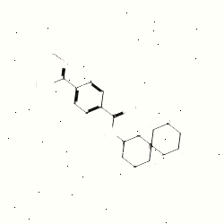 C/N=C(/c1ccc(C(=O)OC2CCCC3(CCCCC3)C2)cc1)C(F)(F)F